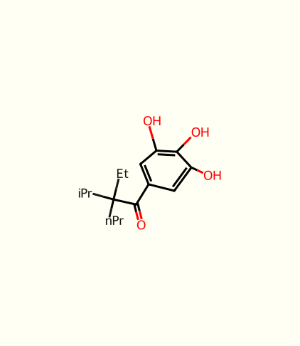 CCCC(CC)(C(=O)c1cc(O)c(O)c(O)c1)C(C)C